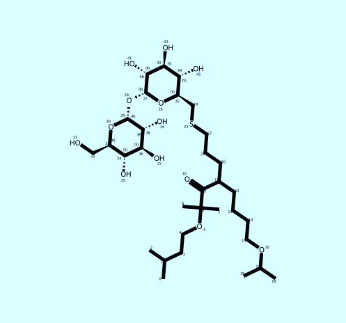 CC(C)CCOC(C)(C)C(=O)C(CCCCOC(C)C)CCCSC[C@H]1O[C@H](O[C@H]2O[C@H](CO)[C@@H](O)[C@H](O)[C@H]2O)[C@H](O)[C@@H](O)[C@@H]1O